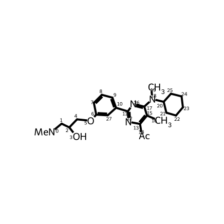 CNCC(O)COc1cccc(-c2nc(C(C)=O)c(C)c(N(C)C3CCCCC3)n2)c1